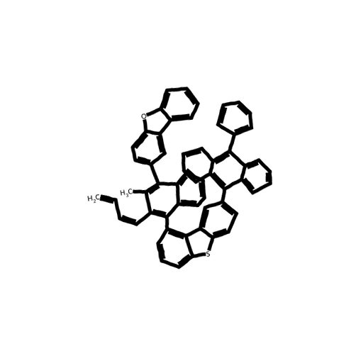 C=C/C=C\c1c(C)c(-c2ccc3oc4ccccc4c3c2)c2ccccc2c1-c1cccc2sc3ccc(-c4c5ccccc5c(-c5ccccc5)c5ccccc45)cc3c12